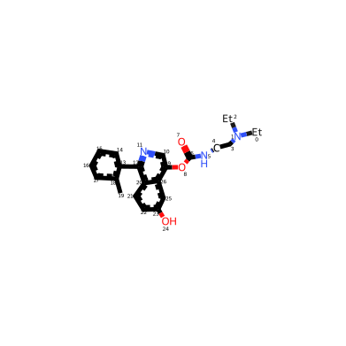 CCN(CC)CCNC(=O)Oc1cnc(-c2ccccc2C)c2ccc(O)cc12